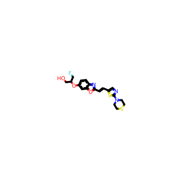 OCC(CF)Oc1ccc2nc(/C=C/c3cnc(N4CCSCC4)s3)oc2c1